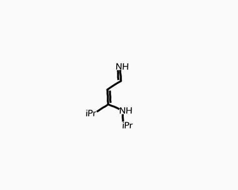 CC(C)N/C(=C\C=N)C(C)C